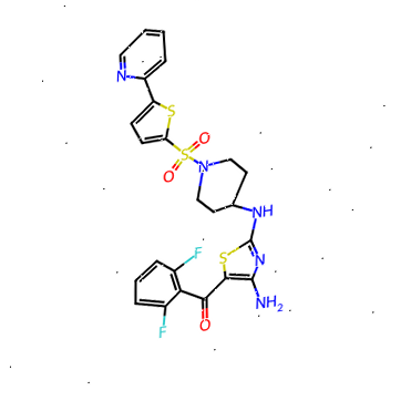 Nc1nc(NC2CCN(S(=O)(=O)c3ccc(-c4ccccn4)s3)CC2)sc1C(=O)c1c(F)cccc1F